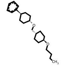 CCCCO[C@H]1CC[C@H](CO[C@H]2CC[C@H](c3ccccc3)CC2)CC1